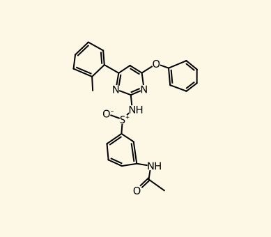 CC(=O)Nc1cccc([S+]([O-])Nc2nc(Oc3ccccc3)cc(-c3ccccc3C)n2)c1